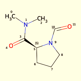 CN(C)C(=O)[C@@H]1CCCN1[C]=O